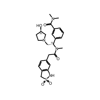 CN(C)C(=O)c1cccc([C@@H](CN2CC[C@@H](O)C2)N(C)C(=O)Cc2ccc3c(c2)NS(=O)(=O)C3)c1